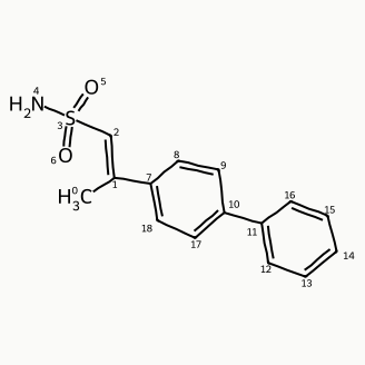 C/C(=C\S(N)(=O)=O)c1ccc(-c2ccccc2)cc1